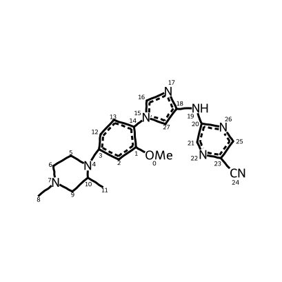 COc1cc(N2CCN(C)CC2C)ccc1-n1cnc(Nc2cnc(C#N)cn2)c1